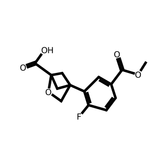 COC(=O)c1ccc(F)c(C23COC(C(=O)O)(C2)C3)c1